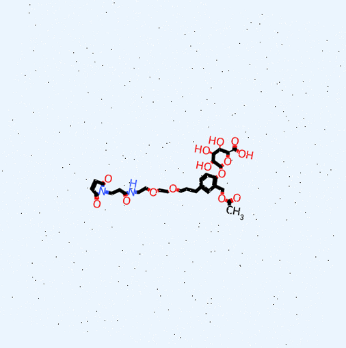 CC(=O)OCc1cc(CCCOCCOCCNC(=O)CCN2C(=O)C=CC2=O)ccc1OC1O[C@H](C(=O)O)[C@@H](O)[C@H](O)C1O